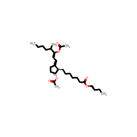 CCCCOC(=O)CCCCCC[C@@H]1C(=CC=C(OC(C)=O)C(C)CCCC)CC[C@H]1OC(C)=O